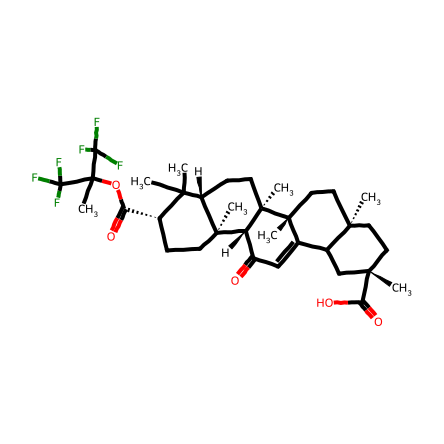 CC1(C)[C@@H](C(=O)OC(C)(C(F)(F)F)C(F)(F)F)CC[C@]2(C)[C@H]3C(=O)C=C4C5C[C@@](C)(C(=O)O)CC[C@]5(C)CC[C@@]4(C)[C@]3(C)CC[C@@H]12